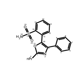 CCCc1nc(-c2ccccc2)c(-c2ccccc2S(N)(=O)=O)o1